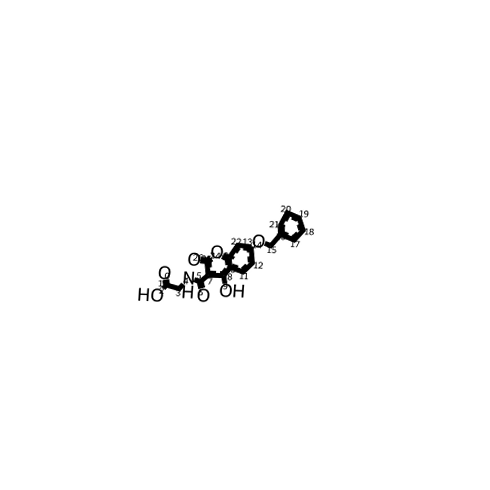 O=C(O)CNC(=O)c1c(O)c2ccc(OCc3ccccc3)cc2oc1=O